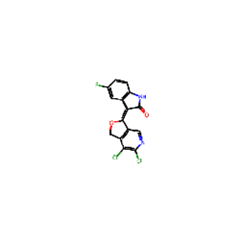 O=C1Nc2ccc(F)cc2C1=C1OCc2c1cnc(Cl)c2Cl